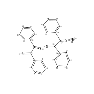 S=C(C(=S)c1ccccc1)c1ccccc1.S=C(C(=S)c1ccccc1)c1ccccc1.[Ni+2]